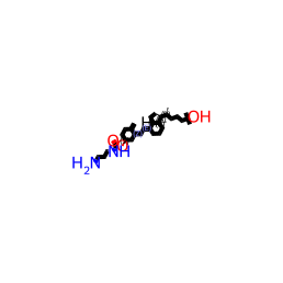 C=C1CC[C@H](OC(=O)NCCCN)C/C1=C/C=C1\CCC[C@]2(C)[C@@H]([C@H](C)CCCC(C)(C)O)CC[C@@H]12